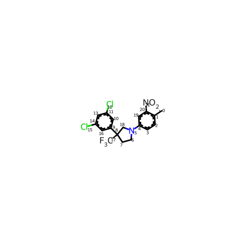 [CH2]c1ccc(N2CCC(c3cc(Cl)cc(Cl)c3)(C(F)(F)F)C2)cc1[N+](=O)[O-]